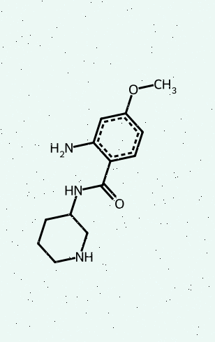 COc1ccc(C(=O)NC2CCCNC2)c(N)c1